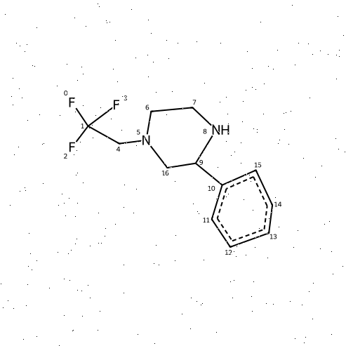 FC(F)(F)CN1CCNC(c2ccccc2)C1